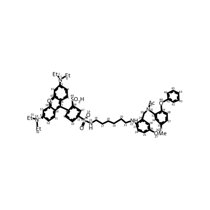 CCN(CC)c1ccc2c(-c3ccc(S(=O)(=O)NCCCCCCNc4ccc(OC)cc4CN(C(C)=O)c4cc(F)ccc4Oc4ccccc4)cc3S(=O)(=O)O)c3ccc(=[N+](CC)CC)cc-3oc2c1